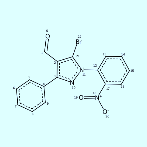 O=Cc1c(-c2ccccc2)nn(-c2ccccc2[N+](=O)[O-])c1Br